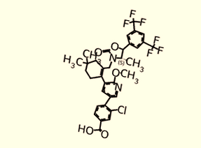 COc1ncc(-c2ccc(C(=O)O)cc2Cl)cc1C1=C(CN2C(=O)OC(c3cc(C(F)(F)F)cc(C(F)(F)F)c3)[C@@H]2C)CC(C)(C)CC1